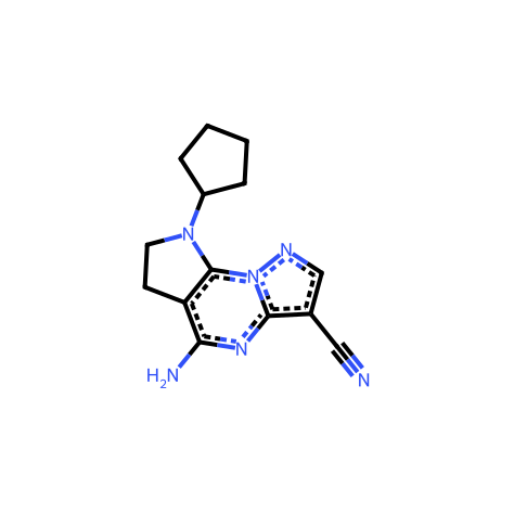 N#Cc1cnn2c3c(c(N)nc12)CCN3C1CCCC1